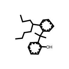 CCCCC(CCC)c1ccccc1C(C)(C)c1ccccc1O